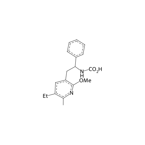 CCc1cc(CC(NC(=O)O)c2ccccc2)c(OC)nc1C